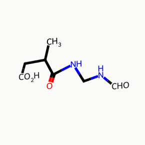 CC(CC(=O)O)C(=O)NCNC=O